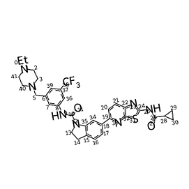 CCN1CCN(Cc2cc(NC(=O)N3CCc4ccc(-c5ccc6nc(NC(=O)C7CC7)sc6n5)cc43)cc(C(F)(F)F)c2)CC1